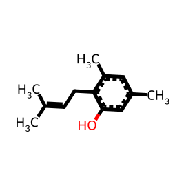 CC(C)=CCc1c(C)cc(C)cc1O